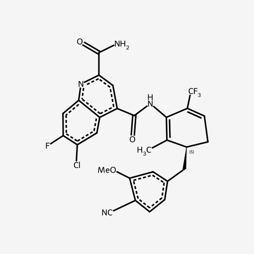 COc1cc(C[C@@H]2CC=C(C(F)(F)F)C(NC(=O)c3cc(C(N)=O)nc4cc(F)c(Cl)cc34)=C2C)ccc1C#N